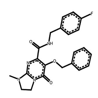 CN1CCn2c1nc(C(=O)NCc1ccc(F)cc1)c(OCc1ccccc1)c2=O